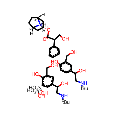 CC(C)(C)NCC(O)c1ccc(O)c(CO)c1.CC(C)(C)NCC(O)c1ccc(O)c(CO)c1.CN1[C@@H]2CC[C@H]1C[C@@H](OC(=O)C(CO)c1ccccc1)C2.O=S(=O)(O)O.O=S(=O)(O)O